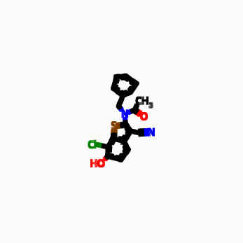 CC(=O)N(Cc1ccccc1)c1sc2c(Cl)c(O)ccc2c1C#N